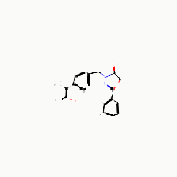 C=C(O)C(c1ccc(CN2N=C(c3ccccc3)OCC2=O)cc1)C(C)C